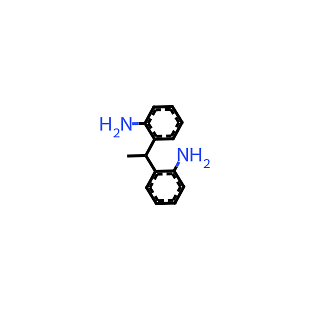 CC(c1ccccc1N)c1ccccc1N